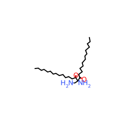 CCCCCCCCCCCCCC(=O)C(N)(CN)C(=O)CCCCCCCCCCCCC